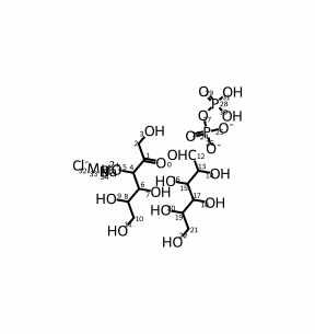 O=C(CO)C(O)C(O)C(O)CO.O=CC(O)C(O)C(O)C(O)CO.O=P([O-])([O-])OP(=O)(O)O.[Cl-].[Mg+2].[Na+]